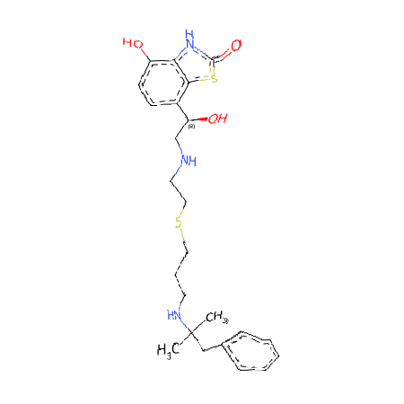 CC(C)(Cc1ccccc1)NCCCSCCNC[C@H](O)c1ccc(O)c2[nH]c(=O)sc12